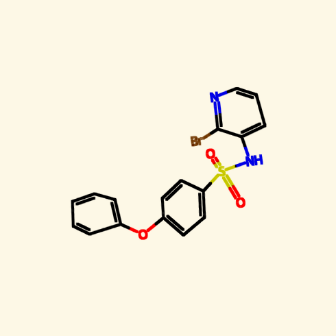 O=S(=O)(Nc1cccnc1Br)c1ccc(Oc2ccccc2)cc1